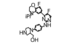 CC(C)N1CCOc2c(F)cc(-c3nc(Nc4ccc(N5CCNCC5CO)cc4)ncc3F)cc21